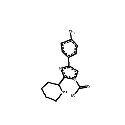 CCC(=O)n1cc(-c2ccc(C)cc2)nc1C1CCCCN1